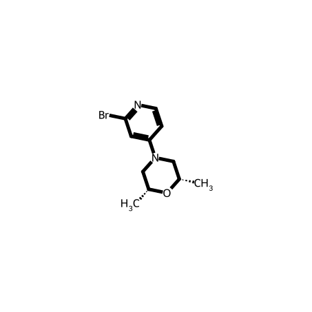 C[C@@H]1CN(c2ccnc(Br)c2)C[C@H](C)O1